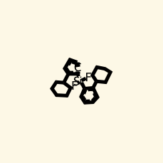 F[Si](F)(c1ccccc1C1CCCCC1)c1ccccc1C1CCCCC1